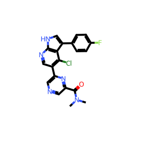 CN(C)C(=O)c1cncc(-c2cnc3[nH]cc(-c4ccc(F)cc4)c3c2Cl)n1